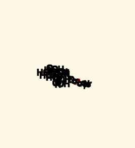 C[C@H]1CCC2[C@@H](C)C3C(CC4C5CC=C6C[C@@H](OCCCn7cc(CO[C@@H]8OC(CO)[C@@H](O[C@@H]9OC%10O[C@@H]%10C(O)[C@@H]9O)[C@H](O)C8O[C@@H]8OC9O[C@@H]9C(O)[C@@H]8O)nn7)CC[C@]6(C)C5CC[C@@]43C)N2C1